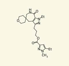 CCc1cc(C(=O)OCCCc2nn(CC)c3c2CC2(CCOCC2)CNC3=O)nn1C